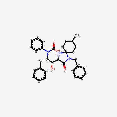 CC1CCC2(CC1)N[C@@H]([C@@H](O)[C@H](Cc1ccccc1)N(C(=O)O)c1ccccc1)C(=O)N2Cc1ccccc1